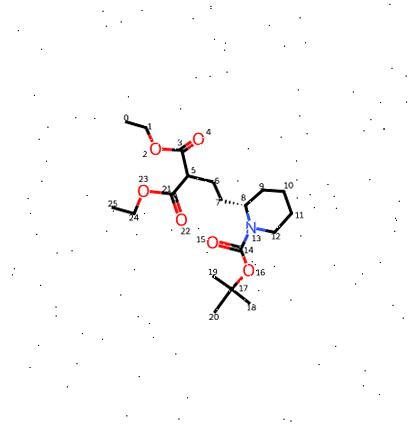 CCOC(=O)C(CC[C@@H]1CCCCN1C(=O)OC(C)(C)C)C(=O)OCC